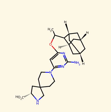 CC(Oc1cc(N2CCC3(CC2)CN[C@H](C(=O)O)C3)nc(N)n1)C1[C@H]2C[C@H]3C[C@H](C2)C[C@H]1C3